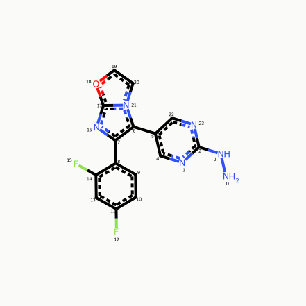 NNc1ncc(-c2c(-c3ccc(F)cc3F)nc3occn23)cn1